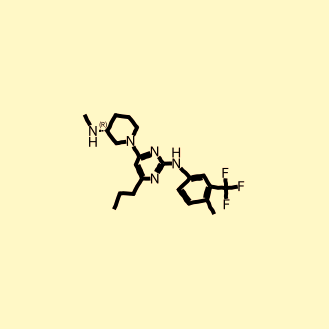 CCCc1cc(N2CCC[C@@H](NC)C2)nc(Nc2ccc(C)c(C(F)(F)F)c2)n1